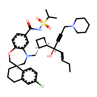 CC/C=C/[C@@](O)(C#CCN1CCCCC1)[C@@H]1CC[C@H]1CN1C[C@@]2(CCCc3cc(Cl)ccc32)COc2ccc(C(=O)NS(=O)(=O)C(C)C)cc21